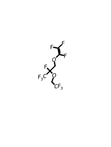 FC(F)=C(F)OCC(F)(OCC(F)(F)F)C(F)(F)F